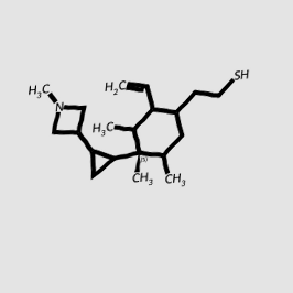 C=CC1C(CCS)CC(C)[C@](C)(C2CC2C2CN(C)C2)C1C